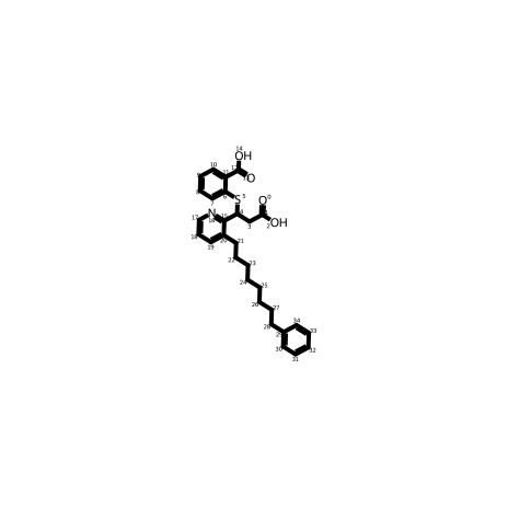 O=C(O)CC(Sc1ccccc1C(=O)O)c1ncccc1CCCCCCCCc1ccccc1